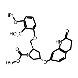 CC(C)Oc1cccc(OC[C@H]2C[C@H](Oc3ccc4c(c3)NC(=O)CC4)CN2C(=O)OC(C)(C)C)c1C(=O)O